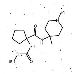 CC(C)N1CCC(C)(NC(=O)C2(NC(=O)OC(C)(C)C)CCCC2)CC1